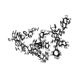 CCc1[nH]c2nc(Sc3cncc(O)c3)nc(N3CC(CCc4[nH]c5nc(Sc6cnc7nccnc7c6)nc(N6C[C@@H]7[C@H](C6)[C@H]7N(Cc6ccccc6)Cc6cccc(CCc7[nH]c8nc(Sc9cnc%10cccnc%10c9)nc(N9C[C@@H]%10[C@H](C9)[C@H]%10N(Cc9ccccc9)Cc9ccccc9)c8c7Cl)c6)c5c4Cl)[C@@H](N)C3)c2c1Cl